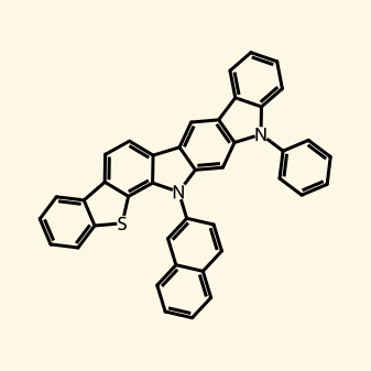 c1ccc(-n2c3ccccc3c3cc4c5ccc6c7ccccc7sc6c5n(-c5ccc6ccccc6c5)c4cc32)cc1